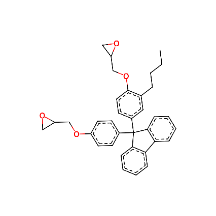 CCCCc1cc(C2(c3ccc(OCC4CO4)cc3)c3ccccc3-c3ccccc32)ccc1OCC1CO1